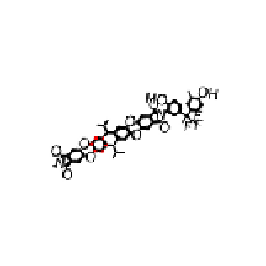 Cc1cc(C(C)(c2ccc(O)c(-n3c(=O)c4cc5oc6cc7c(cc6oc5cc4c3=O)C3(C(C)C)c4ccccc4C7(C(C)C)c4cc5oc6cc7c(=O)n(C)c(=O)c7cc6oc5cc43)c2)C(F)(F)F)ccc1O